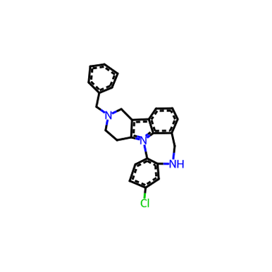 Clc1ccc2c(c1)NCc1cccc3c4c(n-2c13)CCN(Cc1ccccc1)C4